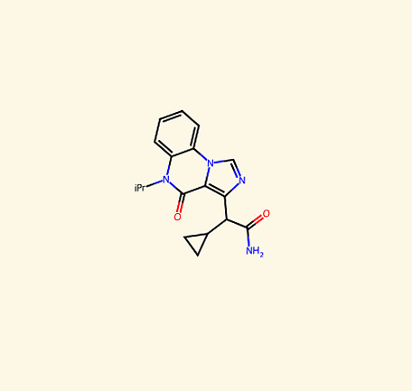 CC(C)n1c(=O)c2c(C(C(N)=O)C3CC3)ncn2c2ccccc21